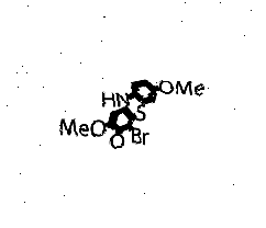 COC1=CC2=C(Sc3cc(OC)ccc3N2)C(Br)C1=O